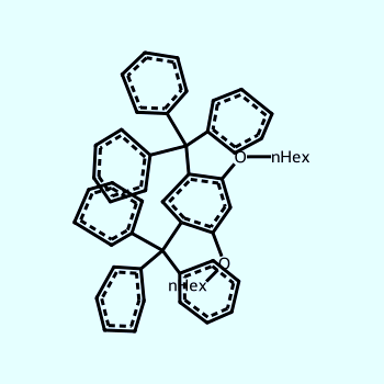 CCCCCCOc1cc(OCCCCCC)c(C(c2ccccc2)(c2ccccc2)c2ccccc2)cc1C(c1ccccc1)(c1ccccc1)c1ccccc1